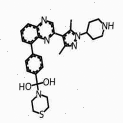 Cc1nn(C2CCNCC2)c(C)c1-c1cnc2cccc(-c3ccc(C(O)(O)N4CCSCC4)cc3)c2n1